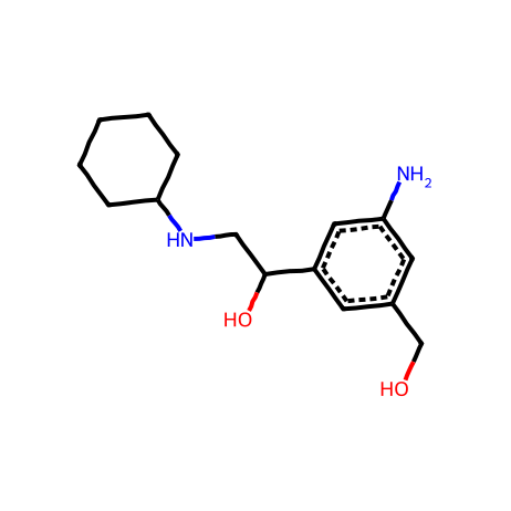 Nc1cc(CO)cc(C(O)CNC2CCCCC2)c1